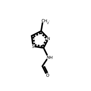 [CH2]c1csc(NC=O)n1